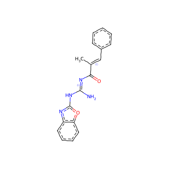 C/C(=C\c1ccccc1)C(=O)/N=C(\N)Nc1nc2ccccc2o1